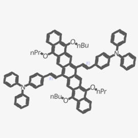 CCCCOc1c2ccccc2c(OCCC)c2cc3c(/C=C/c4ccc(N(c5ccccc5)c5ccccc5)cc4)c4cc5c(OCCCC)c6ccccc6c(OCCC)c5cc4c(/C=C/c4ccc(N(c5ccccc5)c5ccccc5)cc4)c3cc12